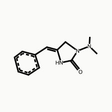 CN(C)N1CC(=Cc2ccccc2)NC1=O